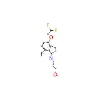 COCCCN=C1CCc2c(OCC(F)F)ccc(I)c21